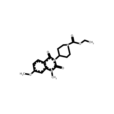 CCOC(=O)N1CCC(n2c(=O)c3ccc(OC)cc3n(C)c2=O)CC1